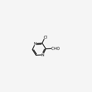 O=Cc1nccnc1Cl